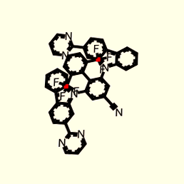 N#Cc1cc(-n2c3ccccc3c3ccc(-c4ncccn4)cc32)c(-c2c(C(F)(F)F)cccc2C(F)(F)F)c(-n2c3ccccc3c3ccc(-c4ncccn4)cc32)c1